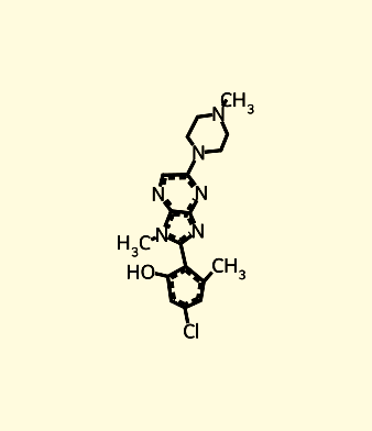 Cc1cc(Cl)cc(O)c1-c1nc2nc(N3CCN(C)CC3)cnc2n1C